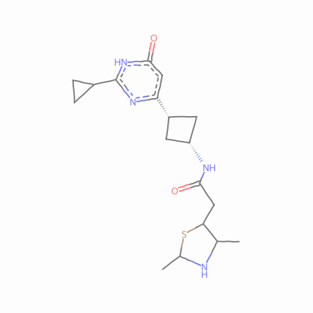 CC1NC(C)C(CC(=O)N[C@H]2C[C@@H](c3cc(=O)[nH]c(C4CC4)n3)C2)S1